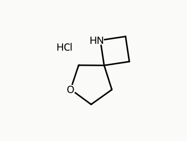 C1CC2(CCOC2)N1.Cl